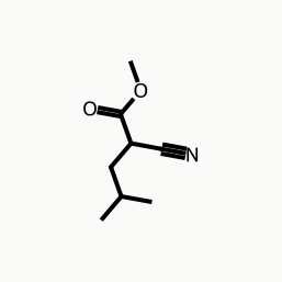 COC(=O)C(C#N)CC(C)C